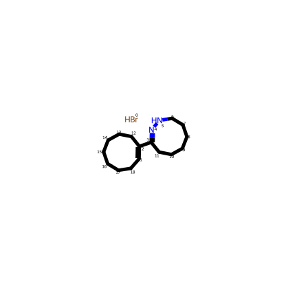 Br.C1=C(C2=NNCCCCCC2)CCCCCCC1